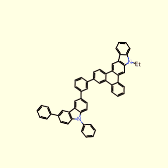 CCn1c2ccccc2c2cc3c4ccc(-c5cccc(-c6ccc7c(c6)c6cc(-c8ccccc8)ccc6n7-c6ccccc6)c5)cc4c4ccccc4c3cc21